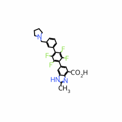 Cc1nc2c(C(=O)O)cc(-c3c(F)c(F)c(-c4cccc(CN5CCCC5)c4)c(F)c3F)cc2[nH]1